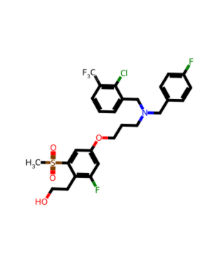 CS(=O)(=O)c1cc(OCCCN(Cc2ccc(F)cc2)Cc2cccc(C(F)(F)F)c2Cl)cc(F)c1CCO